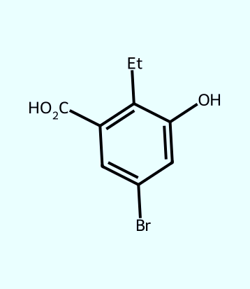 CCc1c(O)cc(Br)cc1C(=O)O